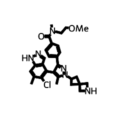 COCCN(C)C(=O)c1ccc(-c2nn(C3CC4(CNC4)C3)c(C)c2-c2c(Cl)c(C)cc3[nH]ncc23)cc1